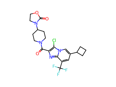 O=C(c1nc2c(C(F)(F)F)cc(C3CCC3)cn2c1Cl)N1CCC(N2CCOC2=O)CC1